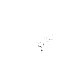 CC(C)COc1ccc(-c2nn(C)c(C(=O)O)c2Cl)cc1C#N